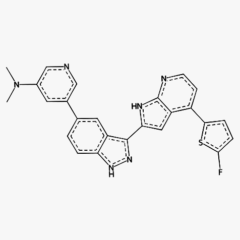 CN(C)c1cncc(-c2ccc3[nH]nc(-c4cc5c(-c6ccc(F)s6)ccnc5[nH]4)c3c2)c1